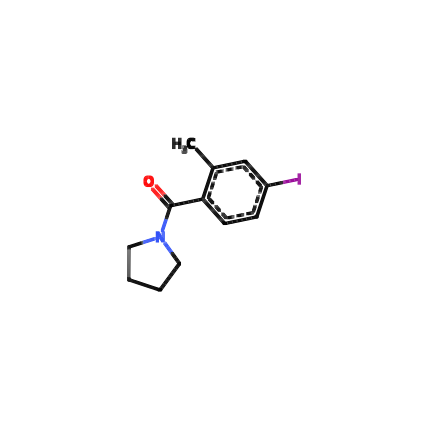 Cc1cc(I)ccc1C(=O)N1CCCC1